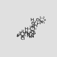 CC1CCCCN1CC=CC(=O)N1CCc2c(sc3ncnc(Nc4ccc(F)c(Cl)c4)c23)C1